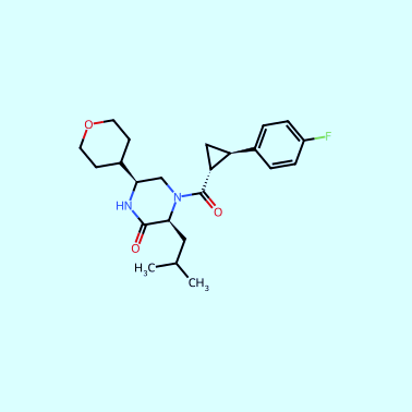 CC(C)C[C@H]1C(=O)N[C@@H](C2CCOCC2)CN1C(=O)[C@@H]1C[C@H]1c1ccc(F)cc1